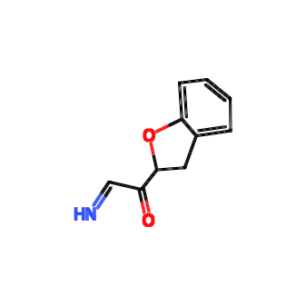 N=CC(=O)C1Cc2ccccc2O1